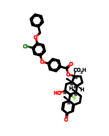 C[C@]12C=CC(=O)C=C1CC[C@H]1[C@@H]3CC[C@@](OC(=O)c4ccc(Oc5ccc(OCc6ccccc6)c(Cl)c5)cc4)(C(=O)O)[C@@]3(C)C[C@H](O)C12F